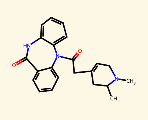 CC1CC(CC(=O)N2c3ccccc3NC(=O)c3ccccc32)=CCN1C